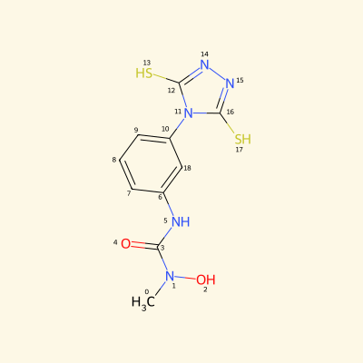 CN(O)C(=O)Nc1cccc(-n2c(S)nnc2S)c1